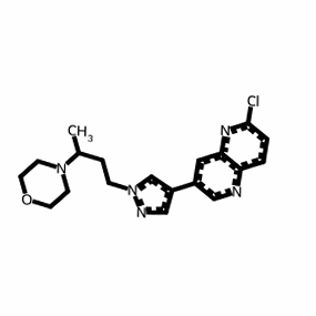 CC(CCn1cc(-c2cnc3ccc(Cl)nc3c2)cn1)N1CCOCC1